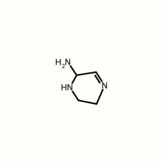 NC1C=NCCN1